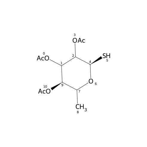 CC(=O)OC1C(OC(C)=O)[C@@H](S)OC(C)[C@H]1OC(C)=O